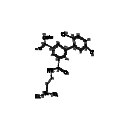 CCN(CC)CCNC(=O)c1cc(C(=O)OC)cc(-c2cc(Cl)ccc2Cl)c1